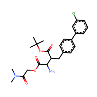 CN(C)C(=O)COC(=O)C(N)C(Cc1ccc(-c2cccc(Cl)c2)cc1)C(=O)OC(C)(C)C